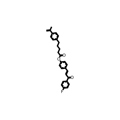 C=C(C)c1ccc(CCCCC(=O)Oc2ccc(C=CC(=O)c3ccc(F)cc3)cc2)cc1